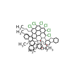 CCCCc1c(CCCC)c2c(CCCC)c(Cl)c3c(Cl)c(Cl)c4c(Cl)c(Cl)c5c6c7c(c1C(CCCC)(c1cccc8c1Cc1ccccc1-8)C(CCCC)(c1cccc8c1Cc1ccccc1-8)C7(CCCC)C(c1cccc7c1Cc1ccccc1-7)C=5Cl)c2c3c46